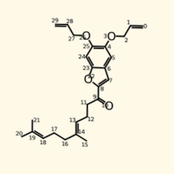 C=CCOc1cc2cc(C(=O)CC/C=C(\C)CCC=C(C)C)oc2cc1OCC=C